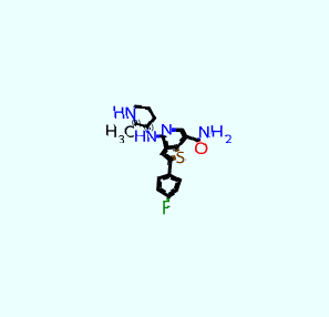 C[C@H]1NCCC[C@@H]1Nc1ncc(C(N)=O)c2sc(-c3ccc(F)cc3)cc12